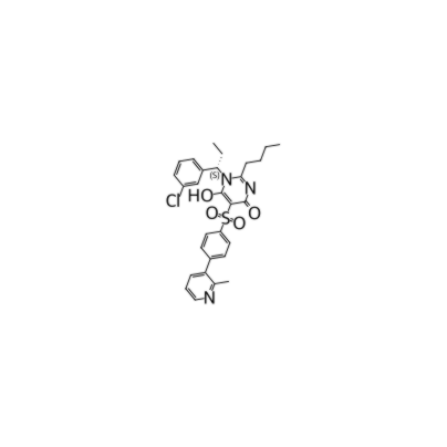 CCCCc1nc(=O)c(S(=O)(=O)c2ccc(-c3cccnc3C)cc2)c(O)n1[C@@H](CC)c1cccc(Cl)c1